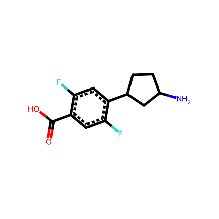 NC1CCC(c2cc(F)c(C(=O)O)cc2F)C1